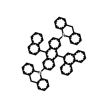 c1ccc2c(c1)Cc1ccccc1N2c1ccc2c(-c3cc4ccccc4c4ccccc34)c3cc(N4c5ccccc5Cc5ccccc54)ccc3c(-c3cccc4ccccc34)c2c1